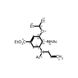 C=CCN(C(C)=O)[C@H]1CC(C(=O)OCC)=C[C@@H](OC(CC)CC)[C@@H]1NC(C)=O